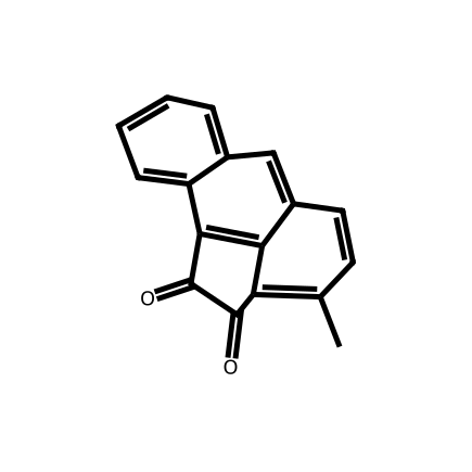 Cc1ccc2cc3ccccc3c3c2c1C(=O)C3=O